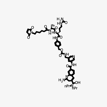 CCCN(CCC)C(O)C1=Cc2ccc(C(=O)Nc3cncc(CNC(=O)OCc4ccc(NC(=O)[C@H](CCCNC(N)=O)NC(=O)[C@@H](NC(=O)CCCCCN5C(=O)C=CC5=O)C(C)C)cc4)c3)cc2N=C(N)C1